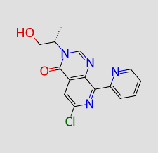 C[C@@H](CO)n1cnc2c(-c3ccccn3)nc(Cl)cc2c1=O